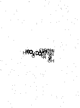 N#C/N=C(\NC[C@H](NC(=O)c1c(Cl)cc2c(c1Cl)CCN(C(=O)c1ccc3cn[nH]c3c1)C2)C(=O)O)N1CC(O)C1